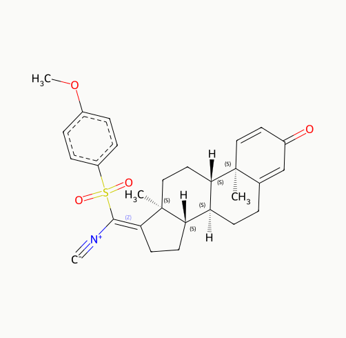 [C-]#[N+]/C(=C1\CC[C@H]2[C@@H]3CCC4=CC(=O)C=C[C@]4(C)[C@H]3CC[C@]12C)S(=O)(=O)c1ccc(OC)cc1